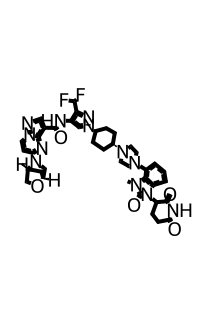 Cn1c(=O)n(C2CCC(=O)NC2=O)c2cccc(N3CCN([C@H]4CC[C@@H](n5cc(NC(=O)c6cnn7ccc(N8C[C@H]9C[C@@H]8CO9)nc67)c(C(F)F)n5)CC4)CC3)c21